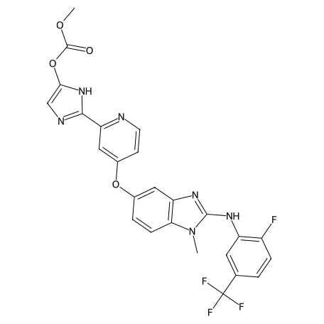 COC(=O)Oc1cnc(-c2cc(Oc3ccc4c(c3)nc(Nc3cc(C(F)(F)F)ccc3F)n4C)ccn2)[nH]1